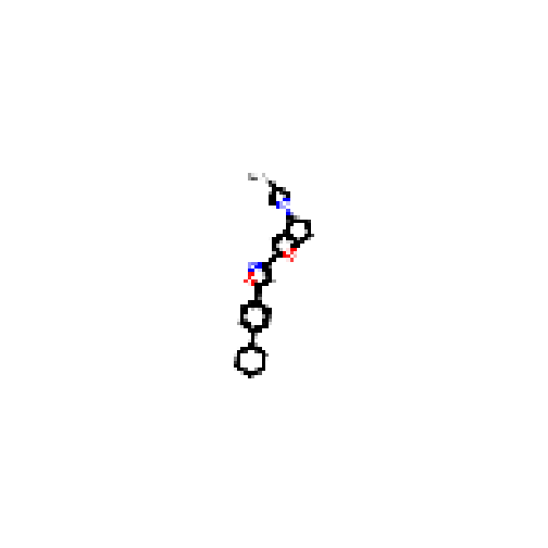 O=C(O)C1CN(C2CCc3oc(-c4cc(-c5ccc(C6CCCCC6)cc5)on4)cc32)C1